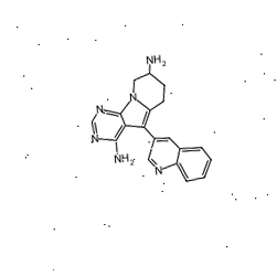 Nc1ncnc2c1c(-c1cnc3ccccc3c1)c1n2CC(N)CC1